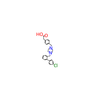 O=C(O)Cc1ccc(CN2CCN(Cc3ccccc3-c3ccc(Cl)cc3)CC2)cc1